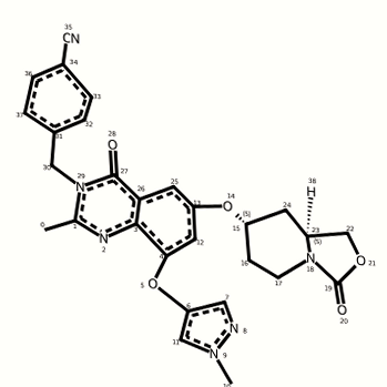 Cc1nc2c(Oc3cnn(C)c3)cc(O[C@H]3CCN4C(=O)OC[C@@H]4C3)cc2c(=O)n1Cc1ccc(C#N)cc1